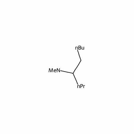 CCCCCC(CCC)NC